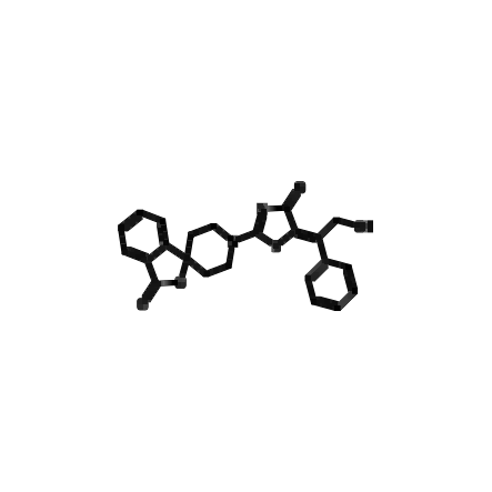 O=C1N=C(N2CCC3(CC2)OC(=O)c2ccccc23)S/C1=C(/CO)c1ccccc1